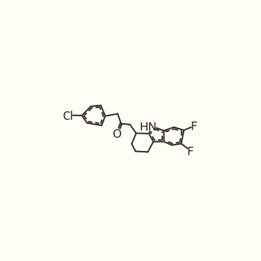 O=C(Cc1ccc(Cl)cc1)CC1CCCc2c1[nH]c1cc(F)c(F)cc21